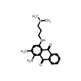 Cc1cc(NCCCN(C)C)c2c(c1N)C(=O)c1ccccc1C2=O